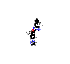 OC(Cc1nc(CC2(C(F)(F)F)CCC2)c[nH]1)(c1ccc(-n2cccn2)cc1)C(F)(F)F